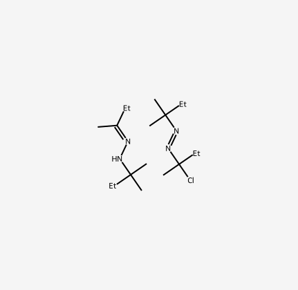 CCC(C)(C)N=NC(C)(Cl)CC.CCC(C)=NNC(C)(C)CC